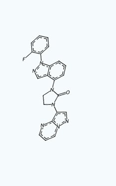 O=C1N(c2cccc3c2cnn3-c2ccccc2F)CCN1c1cnn2cccnc12